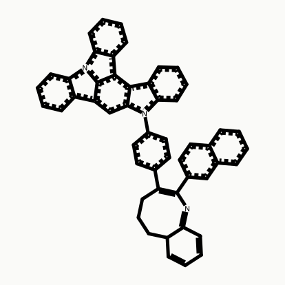 C1=C/C2=N/C(c3ccc4ccccc4c3)=C(/c3ccc(-n4c5ccccc5c5c6c7ccccc7n7c8ccccc8c(cc54)c67)cc3)CCCC2C=C1